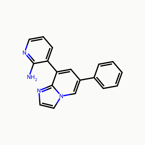 Nc1ncccc1-c1cc(-c2ccccc2)cn2ccnc12